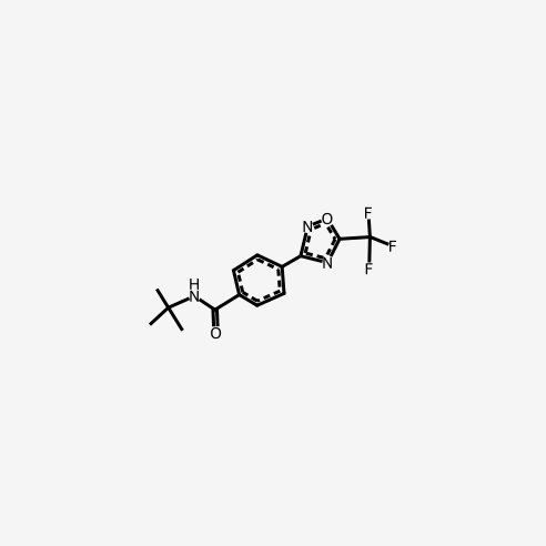 CC(C)(C)NC(=O)c1ccc(-c2noc(C(F)(F)F)n2)cc1